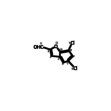 O=Cc1cc2cc(Cl)cc(Cl)c2o1